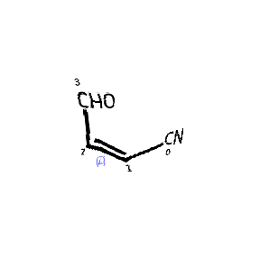 N#C/C=C\C=O